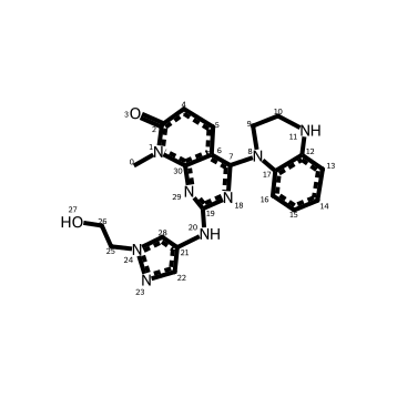 Cn1c(=O)ccc2c(N3CCNc4ccccc43)nc(Nc3cnn(CCO)c3)nc21